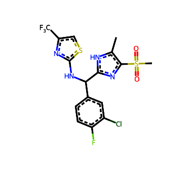 Cc1[nH]c(C(Nc2nc(C(F)(F)F)cs2)c2ccc(F)c(Cl)c2)nc1S(C)(=O)=O